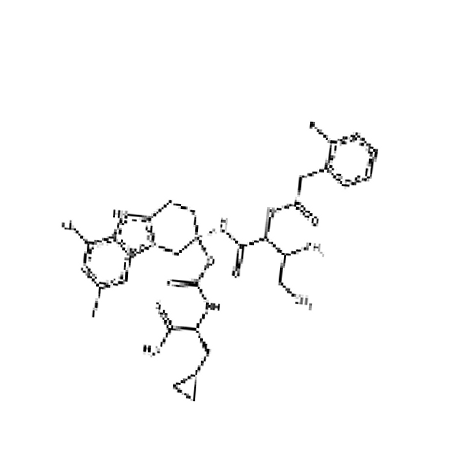 CCC(C)[C@H](NC(=O)Cc1ccccc1F)C(=O)N[C@@]1(OC(=O)N[C@@H](CC2CC2)C(N)=S)CCc2[nH]c3c(Cl)cc(F)cc3c2C1